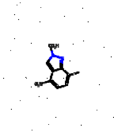 Cc1ccc([N+](=O)[O-])c2cn(C(=O)O)nc12